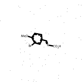 COc1ccc(C=NC(=O)O)cc1Br